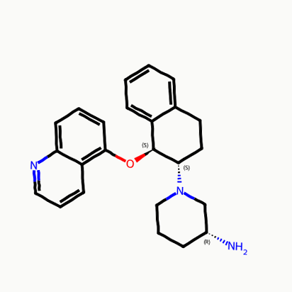 N[C@@H]1CCCN([C@H]2CCc3ccccc3[C@@H]2Oc2cccc3ncccc23)C1